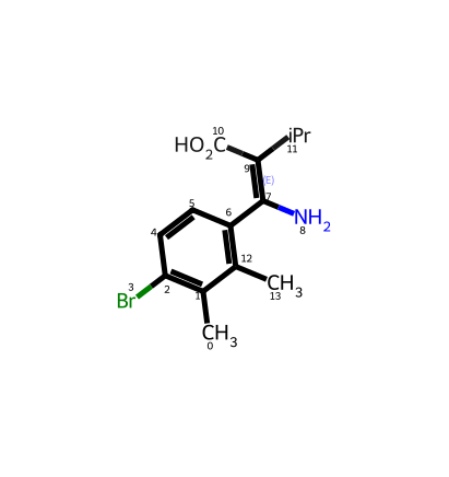 Cc1c(Br)ccc(/C(N)=C(\C(=O)O)C(C)C)c1C